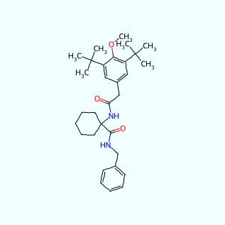 COc1c(C(C)(C)C)cc(CC(=O)NC2(C(=O)NCc3ccccc3)CCCCC2)cc1C(C)(C)C